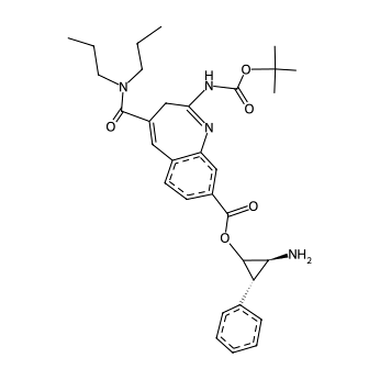 CCCN(CCC)C(=O)C1=Cc2ccc(C(=O)OC3[C@@H](N)[C@@H]3c3ccccc3)cc2N=C(NC(=O)OC(C)(C)C)C1